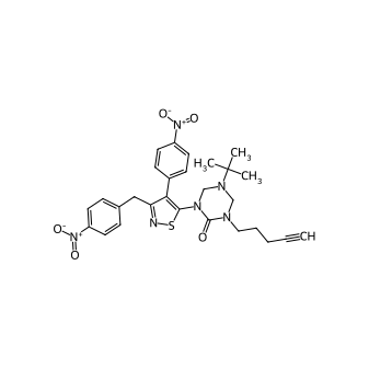 C#CCCCN1CN(C(C)(C)C)CN(c2snc(Cc3ccc([N+](=O)[O-])cc3)c2-c2ccc([N+](=O)[O-])cc2)C1=O